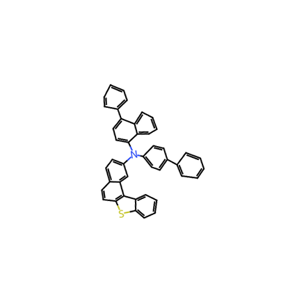 c1ccc(-c2ccc(N(c3ccc4ccc5sc6ccccc6c5c4c3)c3ccc(-c4ccccc4)c4ccccc34)cc2)cc1